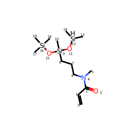 C=CC(=O)N(C)CCC[Si](C)(O[SiH](C)C)O[Si](C)(C)C